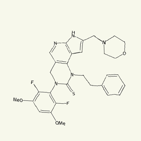 COc1cc(OC)c(F)c(N2Cc3cnc4[nH]c(CN5CCOCC5)cc4c3N(CCc3ccccc3)C2=S)c1F